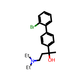 CCN(CC)CCC(C)(O)c1ccc(-c2ccccc2Br)cc1